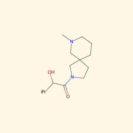 CC(C)C(O)C(=O)N1CCC2(CCCN(C)C2)C1